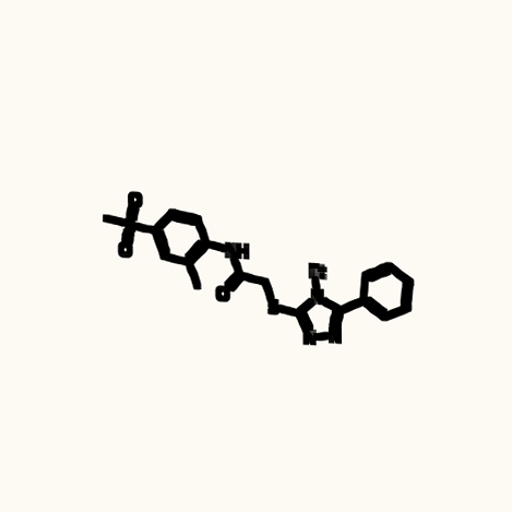 CCn1c(SCC(=O)Nc2ccc(S(C)(=O)=O)cc2C)nnc1-c1ccccc1